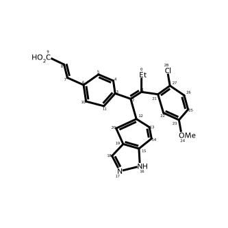 CCC(=C(c1ccc(C=CC(=O)O)cc1)c1ccc2[nH]ncc2c1)c1cc(OC)ccc1Cl